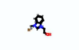 Cn1c[n+](CCO)c2ccccc21.[Br-]